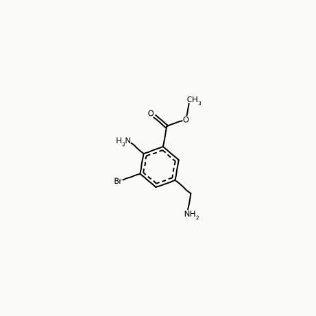 COC(=O)c1cc(CN)cc(Br)c1N